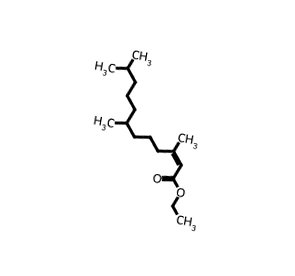 CCOC(=O)C=C(C)CCCC(C)CCCC(C)C